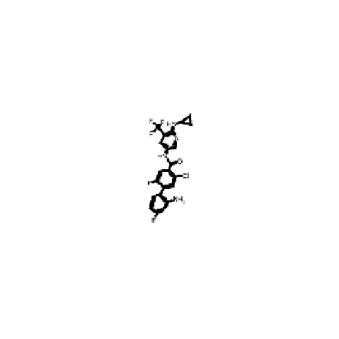 Nc1cc(F)ccc1-c1cc(Cl)c(C(=O)Nc2cnc(NC3CC3)c(C(F)(F)F)c2)cc1F